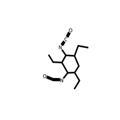 CCC1CC(CC)C(N=C=O)C(CC)C1N=C=O